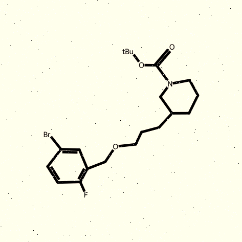 CC(C)(C)OC(=O)N1CCCC(CCCOCc2cc(Br)ccc2F)C1